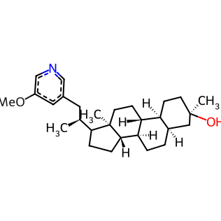 COc1cncc(C[C@H](C)C2CC[C@H]3[C@@H]4CC[C@@H]5C[C@](C)(O)CC[C@@H]5[C@H]4CC[C@]23C)c1